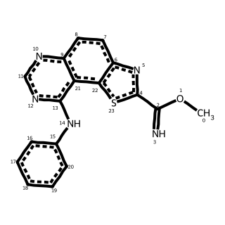 COC(=N)c1nc2ccc3ncnc(Nc4ccccc4)c3c2s1